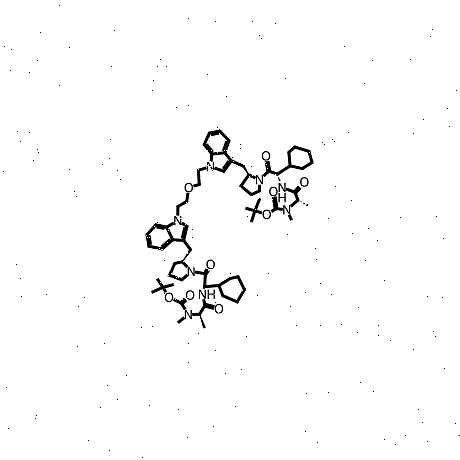 C[C@H](C(=O)N[C@H](C(=O)N1CCC[C@H]1Cc1cn(CCOCCn2cc(C[C@@H]3CCCN3C(=O)[C@@H](NC(=O)[C@H](C)N(C)C(=O)OC(C)(C)C)C3CCCCC3)c3ccccc32)c2ccccc12)C1CCCCC1)N(C)C(=O)OC(C)(C)C